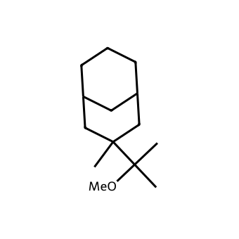 COC(C)(C)C1(C)CC2CCCC(C2)C1